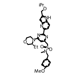 CC[C@H]1COCCN1c1cc(CS(=O)(=O)N(C)Cc2ccc(OC)cc2)nc(-c2ccc3[nH]c(COC(C)C)cc3n2)n1